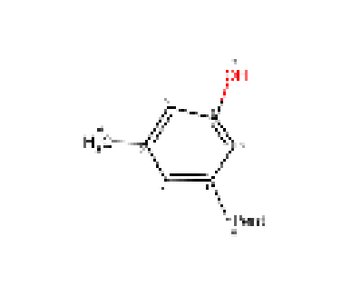 CCCCCc1cc(C)cc(O)c1